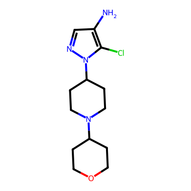 Nc1cnn(C2CCN(C3CCOCC3)CC2)c1Cl